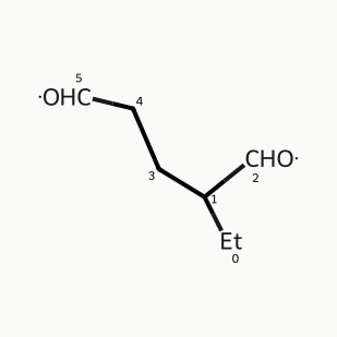 CCC([C]=O)CC[C]=O